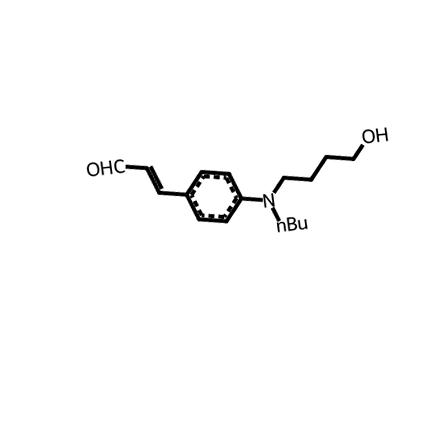 CCCCN(CCCCO)c1ccc(/C=C/C=O)cc1